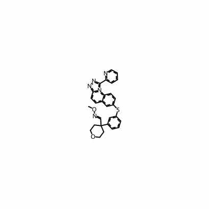 CON=CC1(c2cccc(Sc3ccc4c(ccc5nnc(-c6ccccn6)n54)c3)c2)CCOCC1